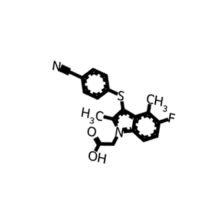 Cc1c(F)ccc2c1c(Sc1ccc(C#N)cc1)c(C)n2CC(=O)O